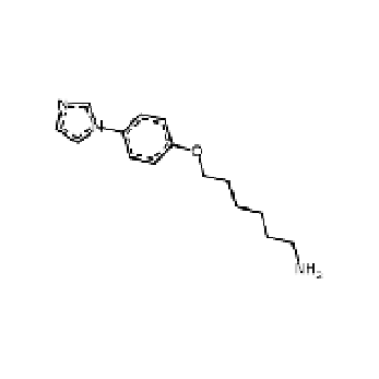 NCCCCCCOc1ccc(-n2ccnc2)cc1